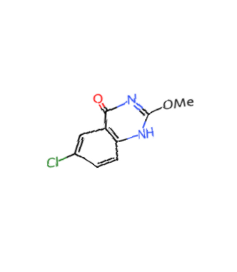 COc1nc(=O)c2cc(Cl)ccc2[nH]1